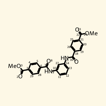 COC(=O)c1ccc(C(=O)Nc2cccc(NC(=O)c3ccc(C(=O)OC)cc3)c2)cc1